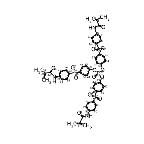 C=C(C)C(=O)Nc1ccc(S(=O)(=O)c2ccc(OP(=O)(Oc3ccc(S(=O)(=O)c4ccc(NC(=O)C(=C)C)cc4)cc3)Oc3ccc(S(=O)(=O)c4ccc(NC(=O)C(=C)C)cc4)cc3)cc2)cc1